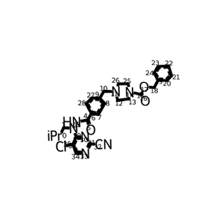 CC(C)CN(NC(=O)c1ccc(CN2CCN(C(=O)OCc3ccccc3)CC2)cc1)c1nc(C#N)ncc1Cl